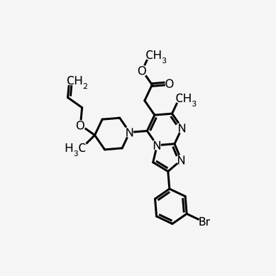 C=CCOC1(C)CCN(c2c(CC(=O)OC)c(C)nc3nc(-c4cccc(Br)c4)cn23)CC1